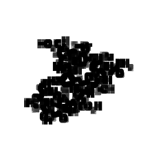 CC[C@H](C)[C@H](NC(=O)[C@H](CCC(N)=O)NC(=O)[C@H](CO)NC(=O)[C@H](Cc1ccc(O)cc1)NC(=O)[C@H](CC(=O)O)NC(=O)[C@H](CC(C)C)NC(=O)[C@H](C)NC(=O)[C@@H](NC(=O)[C@H](CC(C)C)NC(=O)[C@@H](N)CC(C)C)C(C)C)C(=O)N[C@@H](CCC(=O)O)C(=O)N[C@@H](CC(C)C)C(=O)N[C@@H](CCCNC(=N)N)C(=O)O